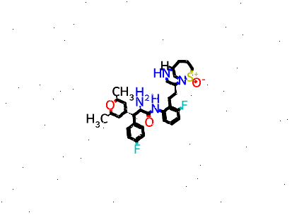 C[C@@H]1C[C@H](C(c2ccc(F)cc2)[C@H](N)C(=O)Nc2cccc(F)c2CC[C@H]2CN[C@@H]3CCC[S+]([O-])N2C3)C[C@H](C)O1